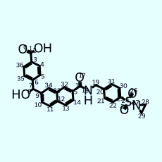 O=C(O)c1ccc(C(O)c2ccc3ccc(C(=O)NCc4ccc(S(=O)(=O)N5CC5)cc4)cc3c2)cc1